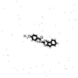 Cc1ccc(C(=O)Nc2nc3c(s2)=CC2=CC=CCC=32)cc1